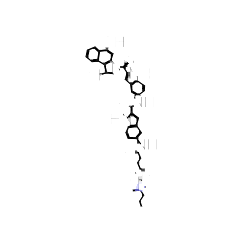 CCC/C(C)=N/NC(=O)CCC(=O)Nc1ccc2[nH]c(C(=O)Nc3ccc4[nH]c(C(=O)N5CC(Cl)c6c5cc(O)c5ccccc65)cc4c3)cc2c1